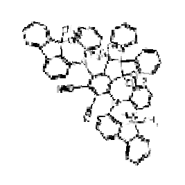 CC1(C)c2ccccc2-c2cccc(N(c3ccccc3)c3c(C#N)c(C#N)c(N(c4ccccc4)c4cccc5c4C(C)(C)c4ccccc4-5)c4c3C(C)(C)C(c3ccccc3)(c3ccccc3)C4(C)C)c21